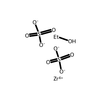 CCO.O=S(=O)([O-])[O-].O=S(=O)([O-])[O-].[Zr+4]